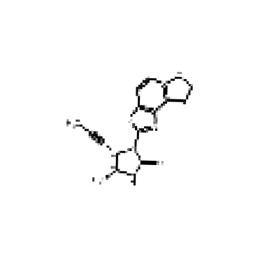 CC#C[C@H]1[C@H](C)NC(=O)N1c1nc2c3c(ccc2s1)OCC3